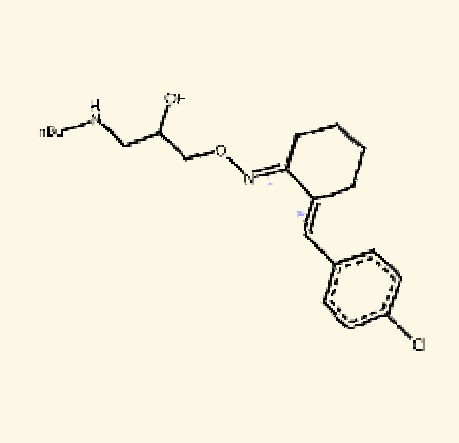 CCCCNCC(O)CO/N=C1\CCCC\C1=C/c1ccc(Cl)cc1